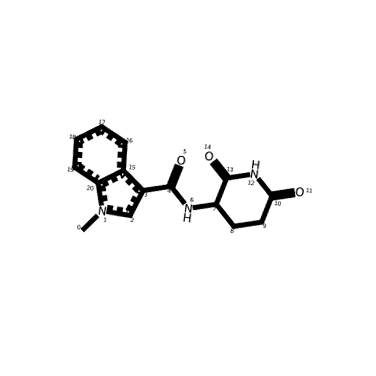 Cn1cc(C(=O)NC2CCC(=O)NC2=O)c2ccccc21